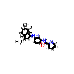 CC1C=C(Nc2ccc3oc(-c4ccccn4)nc3c2)[C@@H]2C[C@H](C)CC[C@@H]12